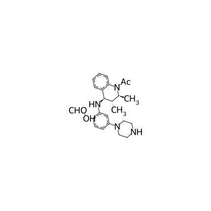 CC(=O)N1c2ccccc2[C@H](Nc2cccc(N3CCNCC3)c2)[C@@H](C)[C@@H]1C.O=CO